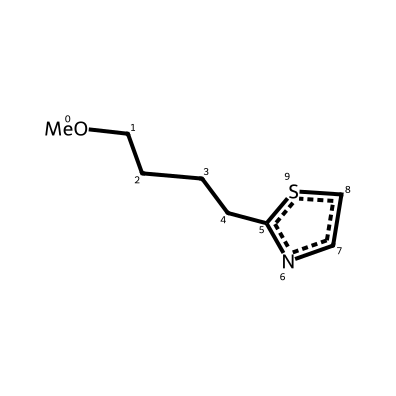 [CH2]OCCCCc1nccs1